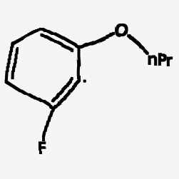 CCCOc1[c]c(F)ccc1